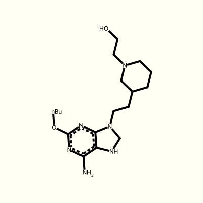 CCCCOc1nc(N)c2c(n1)N(CCC1CCCN(CCO)C1)CN2